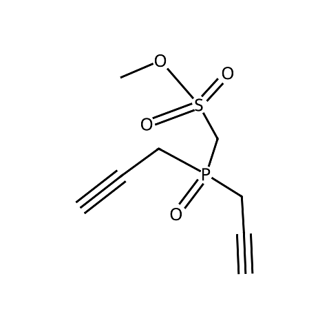 C#CCP(=O)(CC#C)CS(=O)(=O)OC